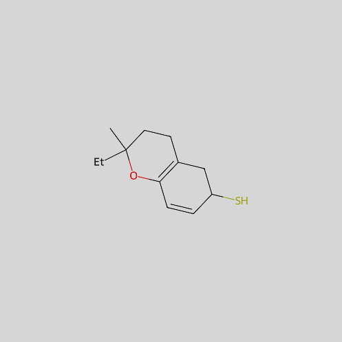 CCC1(C)CCC2=C(C=CC(S)C2)O1